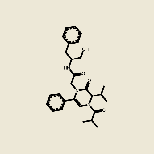 CC(C)C(=O)N1C=C(c2ccccc2)N(CC(=O)N[C@H](CO)Cc2ccccc2)C(=O)[C@H]1C(C)C